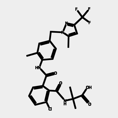 Cc1cc(Cn2nc(C(F)(F)F)cc2C)ccc1NC(=O)c1cccc(Cl)c1C(=O)NC(C)(C)C(=O)O